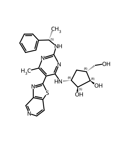 Cc1nc(N[C@@H](C)c2ccccc2)nc(N[C@@H]2C[C@H](CO)[C@@H](O)[C@H]2O)c1-c1nc2cnccc2s1